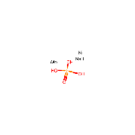 O=P(O)(O)O.[Mn].[NaH].[Ni]